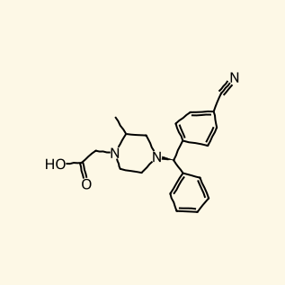 CC1CN([C@H](c2ccccc2)c2ccc(C#N)cc2)CCN1CC(=O)O